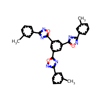 Cc1cccc(-c2noc(-c3cc(-c4nc(-c5cccc(C)c5)no4)cc(-c4nc(-c5cccc(C)c5)no4)c3)n2)c1